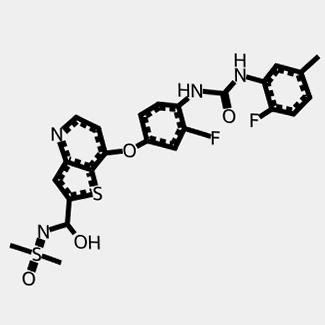 Cc1ccc(F)c(NC(=O)Nc2ccc(Oc3ccnc4cc(C(O)N=S(C)(C)=O)sc34)cc2F)c1